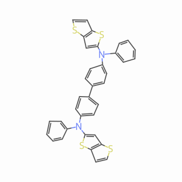 c1ccc(N(c2ccc(-c3ccc(N(c4ccccc4)c4cc5sccc5s4)cc3)cc2)c2cc3sccc3s2)cc1